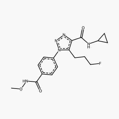 CONC(=O)c1ccc(-n2nnc(C(=O)NC3CC3)c2CCCF)cc1